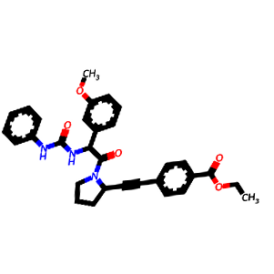 CCOC(=O)c1ccc(C#CC2CCCN2C(=O)C(NC(=O)Nc2ccccc2)c2cccc(OC)c2)cc1